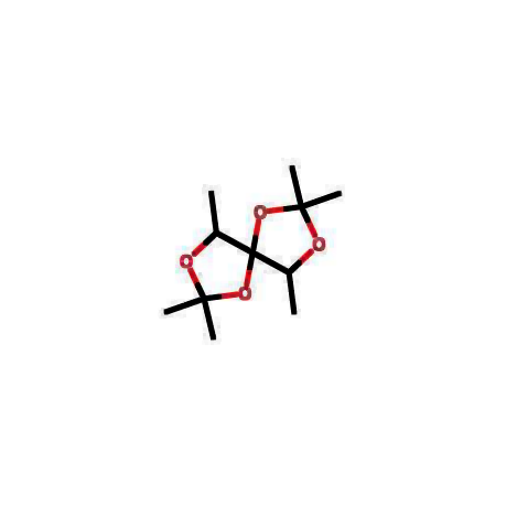 CC1OC(C)(C)OC12OC(C)(C)OC2C